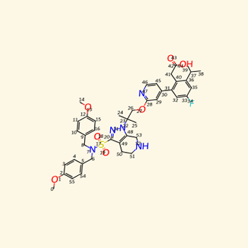 COc1ccc(CN(Cc2ccc(OC)cc2)S(=O)(=O)c2nn(C(C)(C)COc3cc(-c4cc(F)cc(C(C)C)c4CC(=O)O)ccn3)c3c2CCNC3)cc1